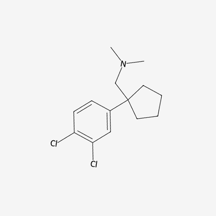 CN(C)CC1(c2ccc(Cl)c(Cl)c2)CCCC1